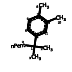 CCCCCC(C)(C)c1ccc(C)c(C)c1